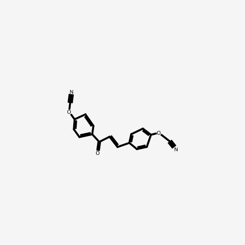 N#COc1ccc(C=CC(=O)c2ccc(OC#N)cc2)cc1